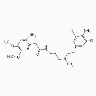 COc1cc(N)c(CC(=O)NCCCN(C)CCc2cc(Cl)c(N)c(Cl)c2)cc1OC